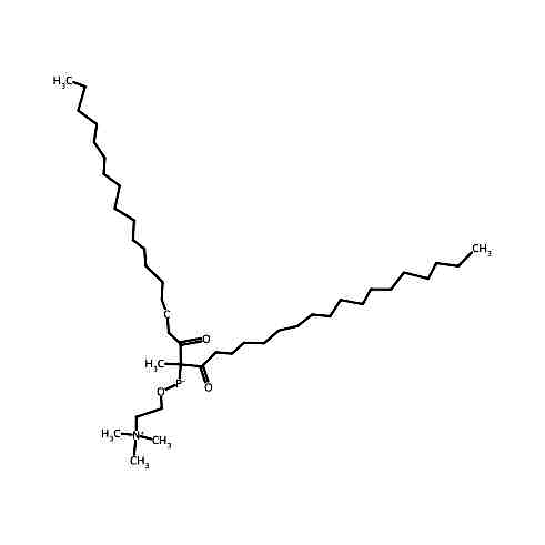 CCCCCCCCCCCCCCCCCC(=O)C(C)([P-]OCC[N+](C)(C)C)C(=O)CCCCCCCCCCCCCCCCC